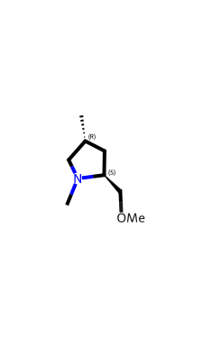 COC[C@@H]1C[C@@H](C)CN1C